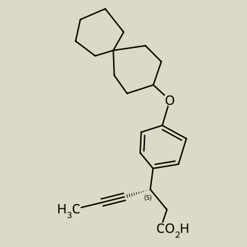 CC#C[C@@H](CC(=O)O)c1ccc(OC2CCC3(CCCCC3)CC2)cc1